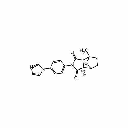 CC12CCC(O1)[C@H]1C(=O)N(c3ccc(-n4ccnc4)cc3)C(=O)C12